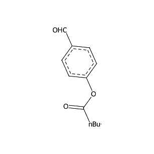 CCC[CH]C(=O)Oc1ccc(C=O)cc1